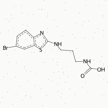 O=C(O)NCCCNc1nc2ccc(Br)cc2s1